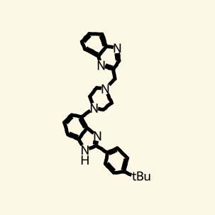 CC(C)(C)c1ccc(-c2nc3c(N4CCN(Cc5cnc6ccccc6n5)CC4)cccc3[nH]2)cc1